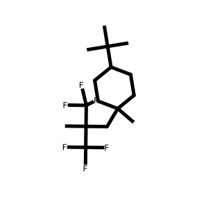 CC1(CC(C)(C(F)(F)F)C(F)(F)F)CCC(C(C)(C)C)CC1